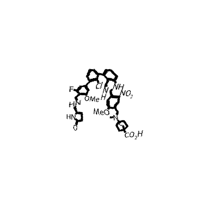 COc1cc(CNc2cccc(-c3cccc(-c4cc(F)c(CNCC5CCC(=O)N5)c(OC)c4)c3Cl)c2C=N)c([N+](=O)[O-])cc1CN(C)C12CCC(C(=O)O)(CC1)CC2